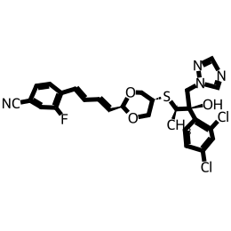 C[C@@H](S[C@H]1CO[C@H](/C=C/C=C/c2ccc(C#N)cc2F)OC1)[C@](O)(Cn1cncn1)c1ccc(Cl)cc1Cl